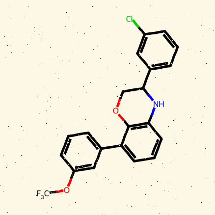 FC(F)(F)Oc1cccc(-c2cccc3c2OCC(c2cccc(Cl)c2)N3)c1